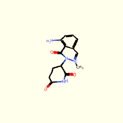 C[n+]1cc2cccc(N)c2c(=O)n1C1CCC(=O)NC1=O